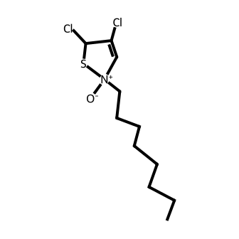 CCCCCCCC[N+]1([O-])C=C(Cl)C(Cl)S1